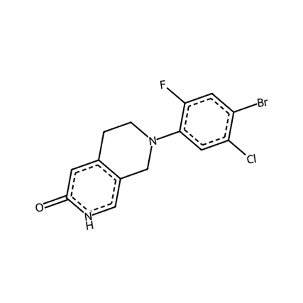 O=c1cc2c(c[nH]1)CN(c1cc(Cl)c(Br)cc1F)CC2